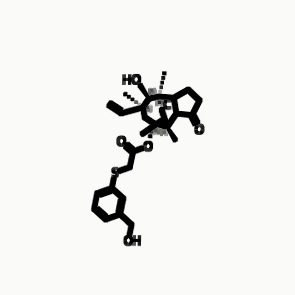 C=C[C@]1(C)C[C@@H](OC(=O)CSc2cccc(CO)c2)[C@]2(C)C(C)CCC3(CCC(=O)C32)[C@@H](C)[C@@H]1O